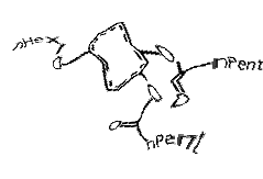 CCCCCCOc1ccc(OC(=O)CCCCC)c(OC(=O)CCCCC)c1